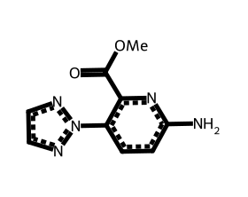 COC(=O)c1nc(N)ccc1-n1nccn1